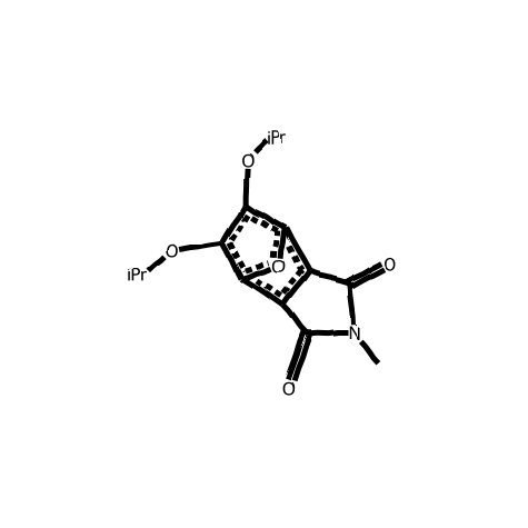 CC(C)Oc1c(OC(C)C)c2oc1c1c2C(=O)N(C)C1=O